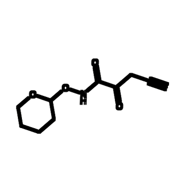 C#CCC(=O)C(=O)NOC1CCCCO1